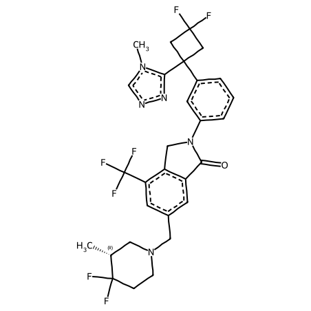 C[C@@H]1CN(Cc2cc3c(c(C(F)(F)F)c2)CN(c2cccc(C4(c5nncn5C)CC(F)(F)C4)c2)C3=O)CCC1(F)F